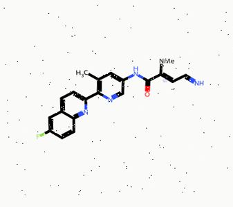 CN/C(=C\C=N)C(=O)Nc1cnc(-c2ccc3cc(F)ccc3n2)c(C)c1